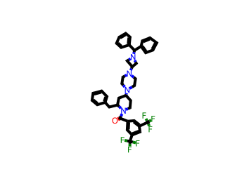 O=C(c1cc(C(F)(F)F)cc(C(F)(F)F)c1)N1CCC(N2CCN(C3CN(C(c4ccccc4)c4ccccc4)C3)CC2)CC1Cc1ccccc1